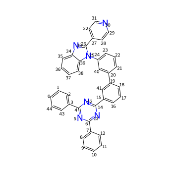 c1ccc(-c2nc(-c3ccccc3)nc(-c3cccc(-c4cccc(-n5c(-c6ccncc6)nc6ccccc65)c4)c3)n2)cc1